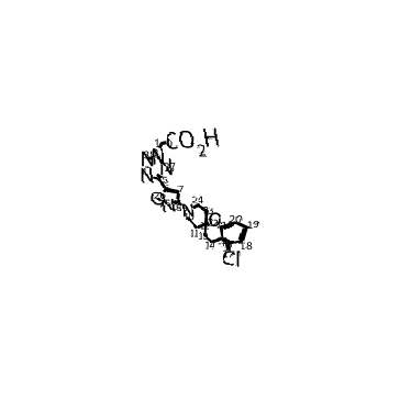 O=C(O)Cn1nnc(-c2cc(N3CCC4(CCc5c(Cl)cccc5O4)CC3)no2)n1